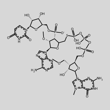 COC[C@@H]1[C@@H](COP(=O)(O)OP(=O)(O)OP(=O)(O)SCC2O[C@@H](n3cnc4c(N)ncnc43)[C@H](OC)[C@@H]2P(=O)([O-])OC[C@H]2O[C@@H](n3ccc(=O)[nH]c3=O)[C@H](O)[C@@H]2O)OC(n2c[n+](C)c3c(=O)[nH]c(N)nc32)[C@@H]1O